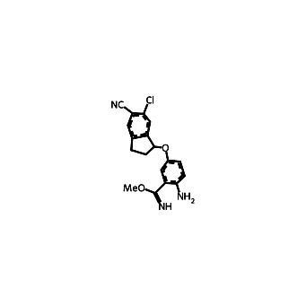 COC(=N)c1cc(OC2CCc3cc(C#N)c(Cl)cc32)ccc1N